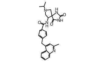 Cc1cc(Cc2ccc(C(=O)NC3CN(C(C)C)CC34NC(=O)NC4=O)cc2)c2ccccc2n1